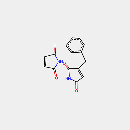 O=C1C=C(Cc2ccccc2)C(=O)N1.O=C1C=CC(=O)N1